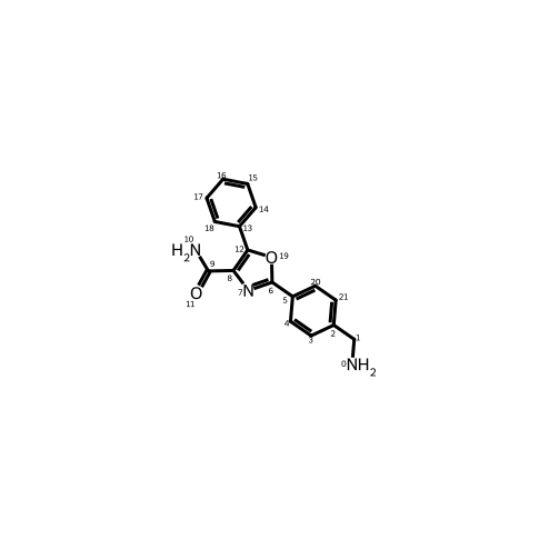 NCc1ccc(-c2nc(C(N)=O)c(-c3ccccc3)o2)cc1